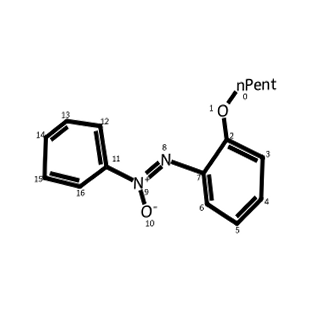 CCCCCOc1ccccc1N=[N+]([O-])c1ccccc1